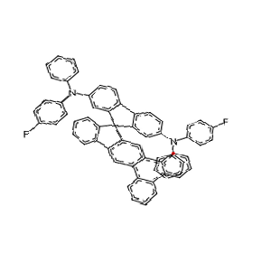 Fc1ccc(N(c2ccccc2)c2ccc3c(c2)C2(c4ccccc4-c4cc5c6ccccc6c6ccccc6c5cc42)c2cc(N(c4ccccc4)c4ccc(F)cc4)ccc2-3)cc1